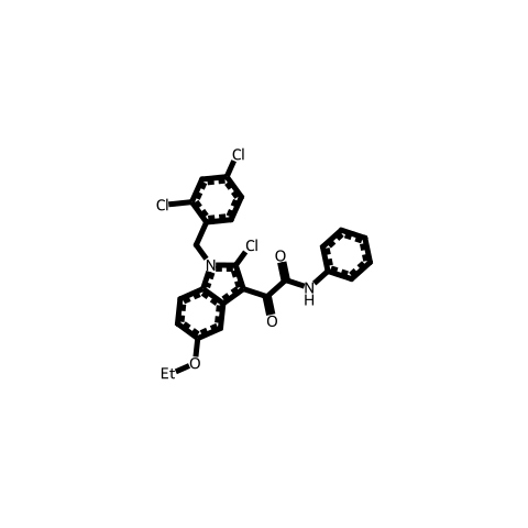 CCOc1ccc2c(c1)c(C(=O)C(=O)Nc1ccccc1)c(Cl)n2Cc1ccc(Cl)cc1Cl